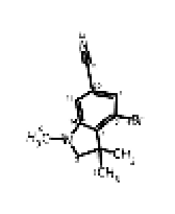 CN1CC(C)(C)c2c(Br)cc(C#N)cc21